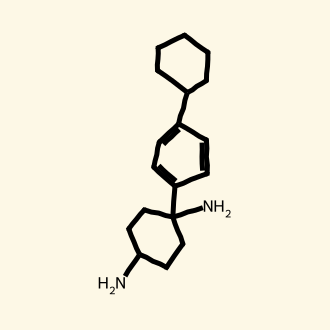 NC1CCC(N)(c2ccc(C3CCCCC3)cc2)CC1